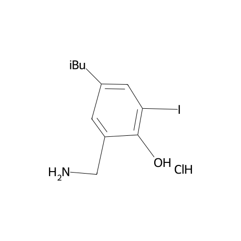 CCC(C)c1cc(I)c(O)c(CN)c1.Cl